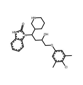 Cc1cc(OCC(O)CC(C2CCCNC2)n2c(=O)[nH]c3ccccc32)cc(C)c1Cl